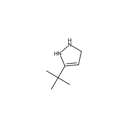 CC(C)(C)C1=CCNN1